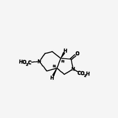 O=C(O)N1CC[C@@H]2C(=O)N(C(=O)O)C[C@@H]2C1